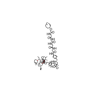 C#CCCCON(C(=O)[C@@H](NC(=O)[C@H]1CCCCN1C)[C@@H](C)CC)[C@H](C[C@@H](OC(C)=O)c1nc(C(=O)N[C@@H](Cc2ccc(NC(=O)CNC(=O)CNC(=O)CNC(=O)CNC(=O)COC3/C=C\CCCCC3)cc2)CC(C)(C)C(=O)O)cs1)C(C)C